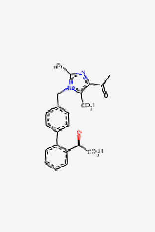 C=C(C)c1nc(CCC)n(Cc2ccc(-c3ccccc3C(=O)C(=O)O)cc2)c1C(=O)O